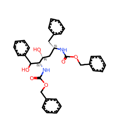 O=C(N[C@@H](Cc1ccccc1)C[C@@H](O)[C@H](NC(=O)OCc1ccccc1)C(O)c1ccccc1)OCc1ccccc1